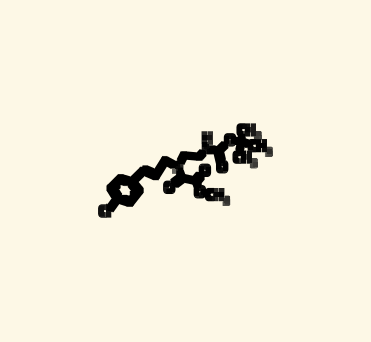 COC(=O)C(=O)N(CC=Cc1ccc(Cl)cc1)CCNC(=O)OC(C)(C)C